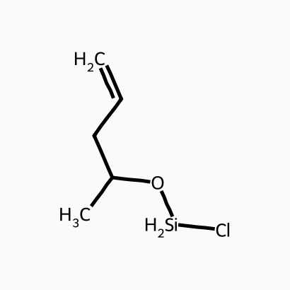 C=CCC(C)O[SiH2]Cl